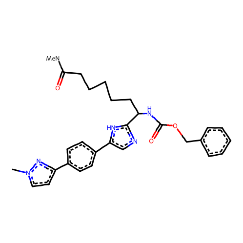 CNC(=O)CCCCCC(NC(=O)OCc1ccccc1)c1ncc(-c2ccc(-c3ccn(C)n3)cc2)[nH]1